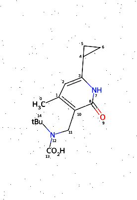 Cc1cc(C2CC2)[nH]c(=O)c1CN(C(=O)O)C(C)(C)C